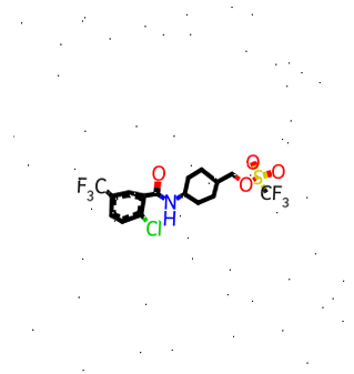 O=C(NC1CCC(COS(=O)(=O)C(F)(F)F)CC1)c1cc(C(F)(F)F)ccc1Cl